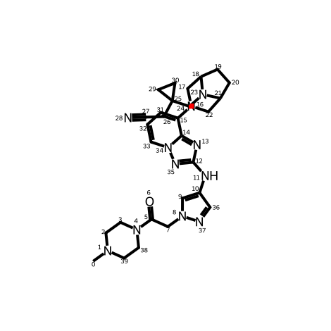 CN1CCN(C(=O)Cn2cc(Nc3nc4c(N5CC6CCC(C5)N6CC5(CC#N)CC5)cccn4n3)cn2)CC1